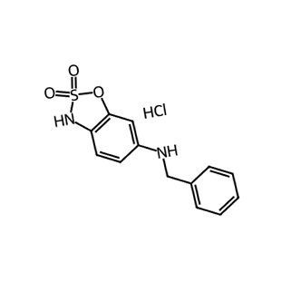 Cl.O=S1(=O)Nc2ccc(NCc3ccccc3)cc2O1